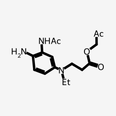 CCN(CCC(=O)OCC(C)=O)c1ccc(N)c(NC(C)=O)c1